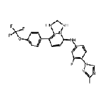 Cc1ncn(-c2ccc(NC3C=CC(c4ccc(OC(F)(F)F)cc4)=C4NCNN43)cc2F)n1